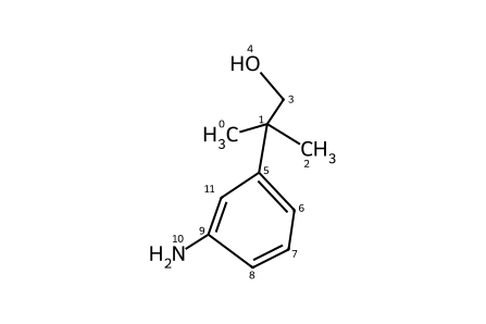 CC(C)(CO)c1cccc(N)c1